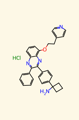 Cl.NC1(c2ccc(-c3nc4c(OCCc5ccncc5)cccc4nc3-c3ccccc3)cc2)CCC1